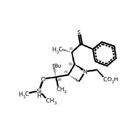 C[C@H](C(=S)c1ccccc1)[C@@H]1[C@@H]([C@@](C)(O[SiH](C)C)C(C)(C)C)CN1CC(=O)O